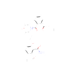 COC(=O)c1ccccc1C(=O)N1CCOC[C@H]1CCOc1cccc(OC)c1C(N)=O